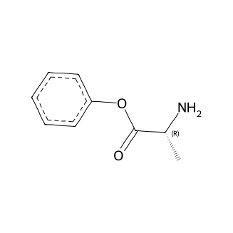 C[C@@H](N)C(=O)Oc1ccccc1